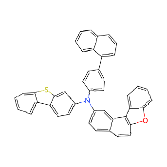 c1ccc2c(-c3ccc(N(c4ccc5c(c4)sc4ccccc45)c4ccc5ccc6oc7ccccc7c6c5c4)cc3)cccc2c1